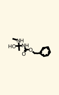 CNC(C)(O)NC(=O)OCc1ccccc1